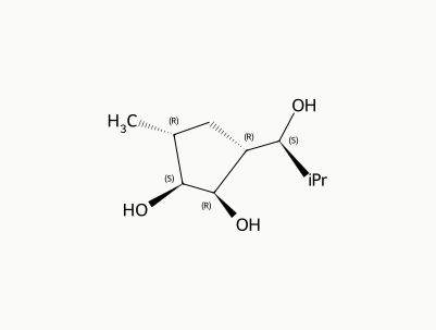 CC(C)[C@H](O)[C@H]1C[C@@H](C)[C@H](O)[C@@H]1O